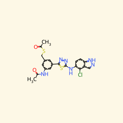 CC(=O)Nc1cc(CSC(C)=O)cc(-c2nnc(Nc3ccc4[nH]ncc4c3Cl)s2)c1